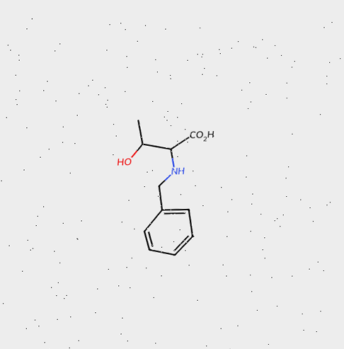 CC(O)C(NCc1ccccc1)C(=O)O